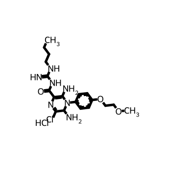 CCCCNC(=N)NC(=O)C1=C(N)N(c2ccc(OCCOC)cc2)C(N)C(Cl)=N1.Cl